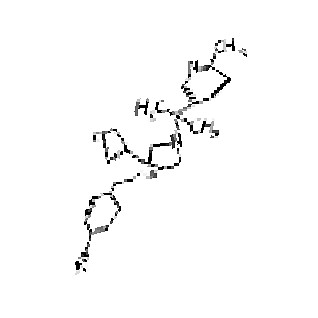 Cc1ccc(C(C)(C)N2CC[C@@](CCc3ccc(C#N)cc3)(C3COC3)C2)cn1